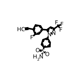 C#Cc1ccc(-c2cc(C(F)(F)F)nn2-c2ccc(S(N)(=O)=O)cc2)cc1F